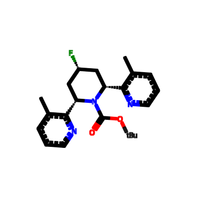 Cc1cccnc1[C@H]1C[C@@H](F)C[C@@H](c2ncccc2C)N1C(=O)OC(C)(C)C